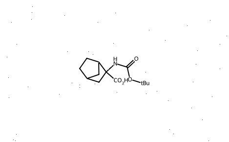 CC(C)(C)OC(=O)NC1(C(=O)O)CC2CCC1C2